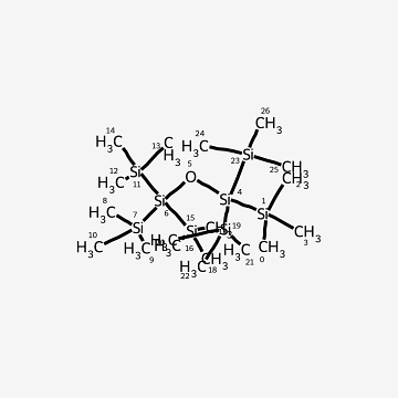 C[Si](C)(C)[Si](O[Si]([Si](C)(C)C)([Si](C)(C)C)[Si](C)(C)C)([Si](C)(C)C)[Si](C)(C)C